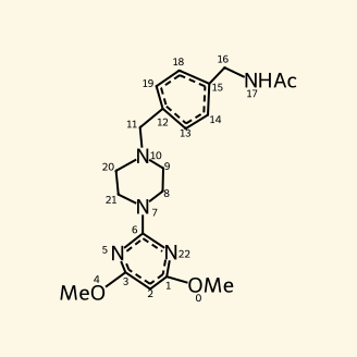 COc1cc(OC)nc(N2CCN(Cc3ccc(CNC(C)=O)cc3)CC2)n1